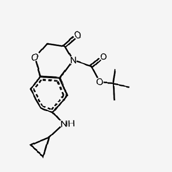 CC(C)(C)OC(=O)N1C(=O)COc2ccc(NC3CC3)cc21